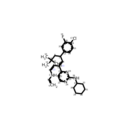 C=CN/C=C\C(=C/C(CC(C)(C)C)c1ccc(Cl)c(F)c1)c1ccnc(NC2CCCCC2)n1